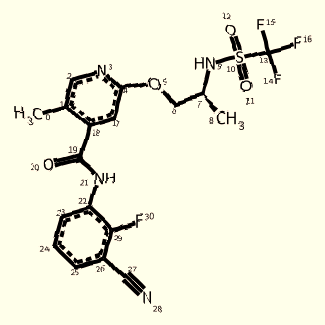 Cc1cnc(OC[C@H](C)NS(=O)(=O)C(F)(F)F)cc1C(=O)Nc1cccc(C#N)c1F